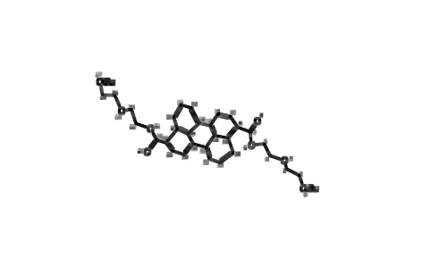 CC(C)COCCOCCOC(=O)c1ccc2c3cccc4c(C(=O)OCCOCCOCC(C)C)ccc(c5cccc1c52)c43